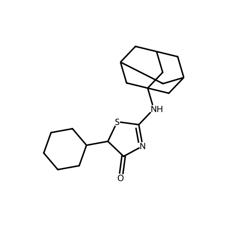 O=C1N=C(NC23CC4CC(CC(C4)C2)C3)SC1C1CCCCC1